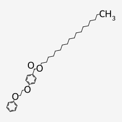 CCCCCCCCCCCCCCCCCCOC(=O)c1ccc(OCCOc2ccccc2)cc1